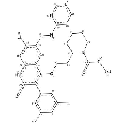 Cc1cc(C)cc(-c2c(OCCC3CCCCN3C(=O)OC(C)(C)C)c3cc(C=Nc4ccncn4)c(Cl)cc3[nH]c2=O)c1